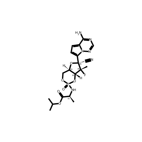 CC(C)OC(=O)[C@H](C)NP1(=O)OC[C@H]2O[C@@](C#N)(c3ccc4c(N)ncnn34)[C@](C)(F)[C@@H]2O1